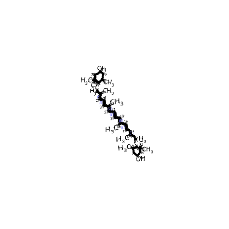 C\C(C=C=C1C(C)CC(O)CC1(C)C)=C/C=C/C(C)=C/C=C/C=C(C)/C=C/C=C(\C)C=C=C1C(C)CC(O)CC1(C)C